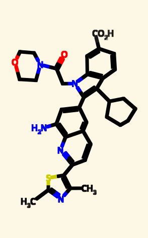 Cc1nc(C)c(-c2ccc3cc(-c4c(C5CCCCC5)c5ccc(C(=O)O)cc5n4CC(=O)N4CCOCC4)cc(N)c3n2)s1